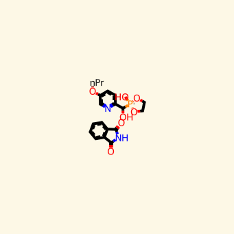 CCCOc1ccc(C(O)[P]2(O)OCCO2)nc1.O=C1NC(=O)c2ccccc21